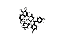 C[C@H]1CN(C(c2ccc(F)cc2)c2ccc(F)cc2)[C@H](CN2CCOCC2)CN1c1cc(=O)n(C)c2ccc(C#N)nc12